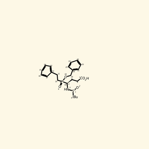 CC(C)(C)[S+]([O-])N[C@H](CCC(=O)O)P(=O)(CCc1ccccc1)OCc1ccccc1